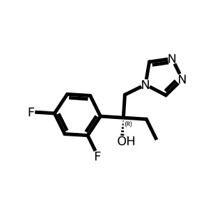 CC[C@](O)(Cn1cnnc1)c1ccc(F)cc1F